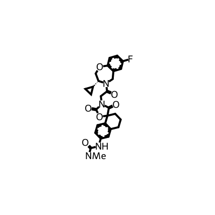 CNC(=O)Nc1ccc2c(c1)CCCC21OC(=O)N(CC(=O)N2Cc3cc(F)ccc3OC[C@H]2C2CC2)C1=O